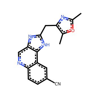 Cc1nc(Cc2nc3cnc4ccc(C#N)cc4c3[nH]2)c(C)o1